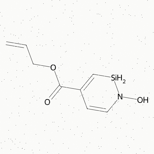 C=CCOC(=O)C1=C[SiH2]N(O)C=C1